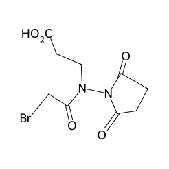 O=C(O)CCN(C(=O)CBr)N1C(=O)CCC1=O